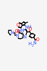 Cc1cc2coccc-2c1NC(N[C@H]1CCCCN(CC(=O)N2CCCC2)C1=O)=C(C#N)C(=O)c1ccc(C(N)=O)cc1